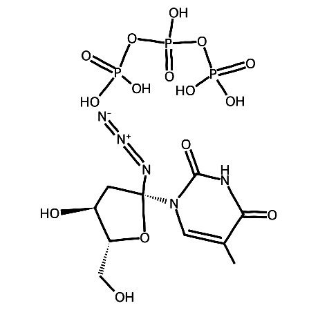 Cc1cn([C@@]2(N=[N+]=[N-])C[C@H](O)[C@@H](CO)O2)c(=O)[nH]c1=O.O=P(O)(O)OP(=O)(O)OP(=O)(O)O